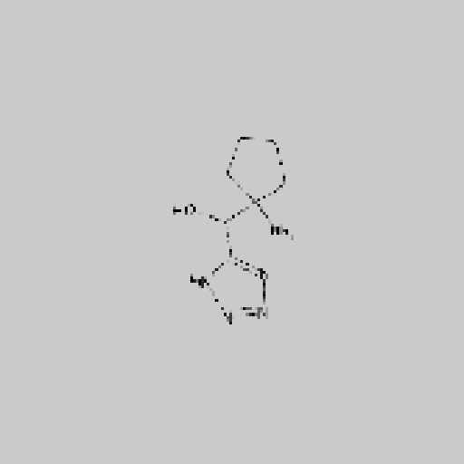 NC1(C(O)c2nnn[nH]2)CCCC1